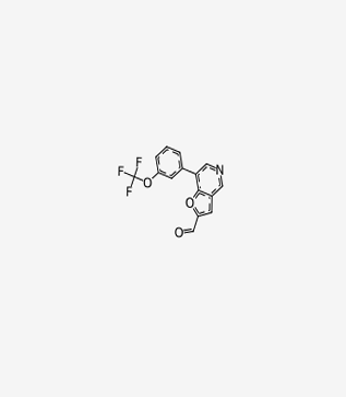 O=Cc1cc2cncc(-c3cccc(OC(F)(F)F)c3)c2o1